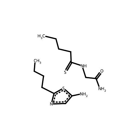 CCCCC(=S)NCC(N)=O.CCCCc1ncc(N)s1